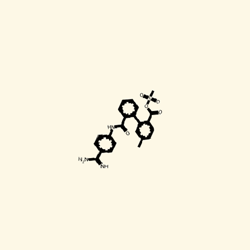 Cc1ccc(C(=O)OS(C)(=O)=O)c(-c2ccccc2C(=O)Nc2ccc(C(=N)N)cc2)c1